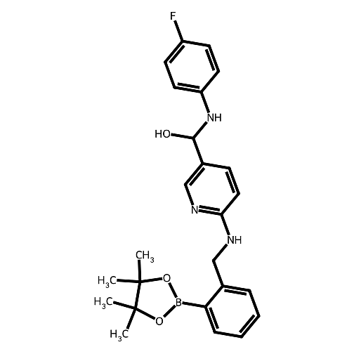 CC1(C)OB(c2ccccc2CNc2ccc(C(O)Nc3ccc(F)cc3)cn2)OC1(C)C